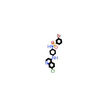 O=S(=O)(NC1CCC(Nc2ccnc3cc(Cl)ccc23)CC1)c1cccc(Br)c1